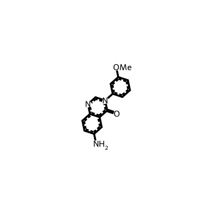 COc1cccc(-n2cnc3ccc(N)cc3c2=O)c1